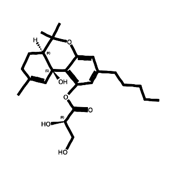 CCCCCc1cc(OC(=O)[C@H](O)CO)c2c(c1)OC(C)(C)[C@@H]1CCC(C)=C[C@@]21O